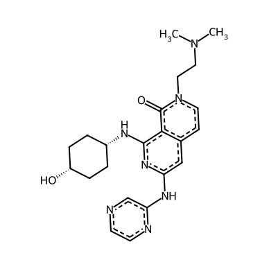 CN(C)CCn1ccc2cc(Nc3cnccn3)nc(N[C@H]3CC[C@@H](O)CC3)c2c1=O